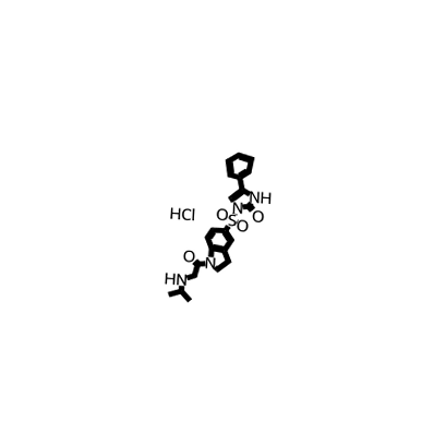 CC(C)NCC(=O)N1CCc2cc(S(=O)(=O)n3cc(-c4ccccc4)[nH]c3=O)ccc21.Cl